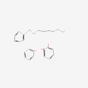 CCCCCCCCCc1ccccc1.Oc1ccccc1Oc1ccccc1